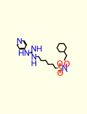 CN(OCCC1CCCCC1)S(=O)(=O)CCCCCCNC(=N)Nc1ccncc1